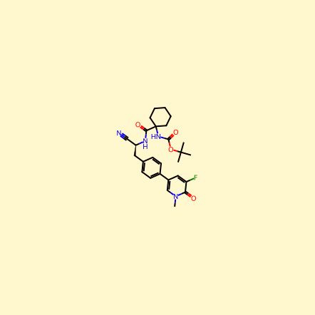 Cn1cc(-c2ccc(C[C@@H](C#N)NC(=O)C3(NC(=O)OC(C)(C)C)CCCCC3)cc2)cc(F)c1=O